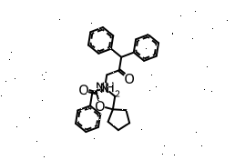 NC(=O)OC1(CN(CC(=O)C(c2ccccc2)c2ccccc2)Cc2ccccc2)CCCC1